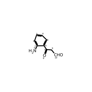 Nc1ccccc1C(=O)CC=O